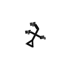 C=CC(C)(C)C1[CH]C1